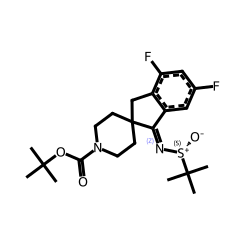 CC(C)(C)OC(=O)N1CCC2(CC1)Cc1c(F)cc(F)cc1/C2=N\[S@+]([O-])C(C)(C)C